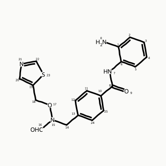 Nc1ccccc1NC(=O)c1ccc(CN(C=O)OCc2cncs2)cc1